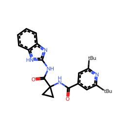 CC(C)(C)c1cc(C(=O)NC2(C(=O)Nc3nc4ccccc4[nH]3)CC2)cc(C(C)(C)C)n1